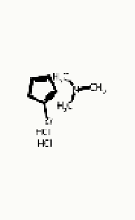 CN(C)C.Cl.Cl.[Zr][C]1=CC=CC1